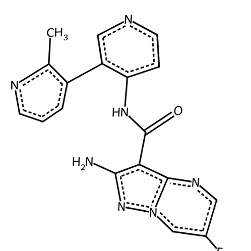 Cc1ncccc1-c1cnccc1NC(=O)c1c(N)nn2cc(F)cnc12